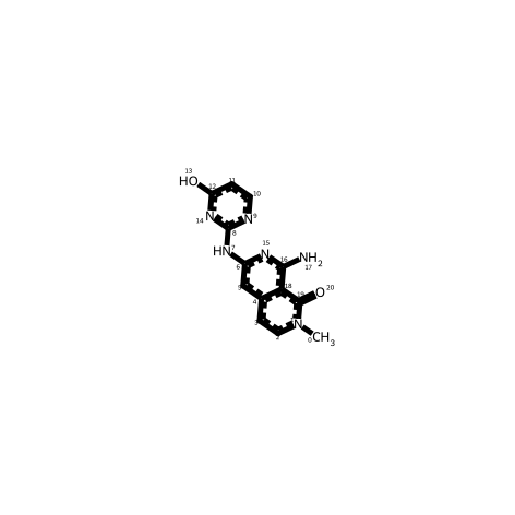 Cn1ccc2cc(Nc3nccc(O)n3)nc(N)c2c1=O